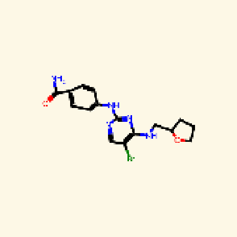 NC(=O)c1ccc(Nc2ncc(Br)c(NCC3CCCO3)n2)cc1